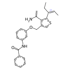 C=C(N)c1c(COc2cccc(NC(=O)c3ccccc3)c2)csc1/C(=C\C)CC